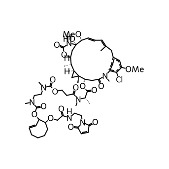 COc1cc2cc(c1Cl)N(C)C(=O)C[C@H](OC(=O)[C@H](C)N(C)C(=O)CCOC(=O)N(C)CCN(C)C(=O)OC1/C=C/CCCCC1OCC(=O)NCCN1C(=O)C=CC1=O)[C@]1(C)C[C@H]1[C@H](C)[C@@H]1C[C@@](O)(NC(=O)O1)[C@H](OC)/C=C/C=C(\C)C2